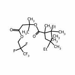 CCC(C)(C)CC(C)(C(=O)OC(C)(C)CC(=O)OCC(F)(F)C(F)(F)F)C(C)(C)CC